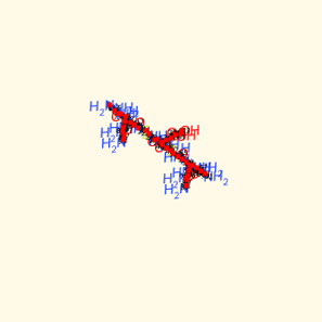 NCCCC(N)C(=O)NCCN(CCNCC(=O)NCCSSCCNC(=O)CCC(NC(=O)CCC(=O)OC[C@H](O)CO)C(=O)NCCSSCCNC(=O)CNCCN(CCNC(=O)C(N)CCCN)CCNC(=O)C(N)CCCN)CCNC(=O)C(N)CCCN